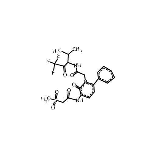 CC(C)C(NC(=O)Cn1c(-c2ccccc2)ccc(NC(=O)CS(C)(=O)=O)c1=O)C(=O)C(F)(F)F